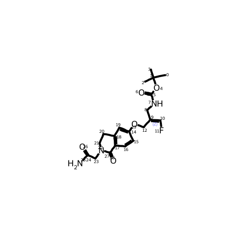 CC(C)(C)OC(=O)NC/C(=C/F)COc1ccc2c(c1)CCN(CC(N)=O)C2=O